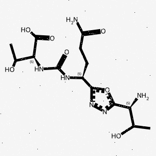 CC(O)[C@H](NC(=O)N[C@@H](CCC(N)=O)c1nnc([C@@H](N)C(C)O)o1)C(=O)O